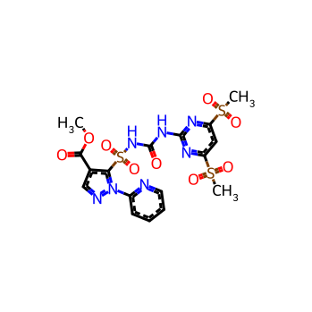 COC(=O)c1cnn(-c2ccccn2)c1S(=O)(=O)NC(=O)Nc1nc(S(C)(=O)=O)cc(S(C)(=O)=O)n1